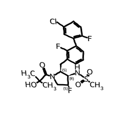 CC(C)(O)C(=O)N1C[C@H](F)[C@H](NS(C)(=O)=O)[C@@H]1Cc1cccc(-c2cc(Cl)ccc2F)c1F